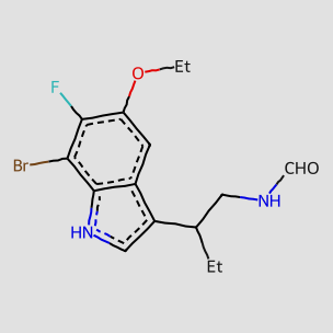 CCOc1cc2c(C(CC)CNC=O)c[nH]c2c(Br)c1F